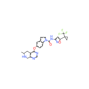 CC1Cc2c(ncnc2Oc2ccc3c(ccn3C(=O)Nc3cc(C4(C(F)(F)F)CC4)on3)c2)CN1